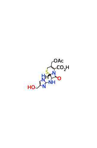 CC(=O)OCC1=C(C(=O)O)N2C(=O)C(Nc3nc(CO)c[nH]3)[C@@H]2SC1